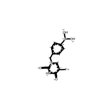 O=c1[nH]c(=O)n(Cc2ccc(B(O)O)cc2)cc1F